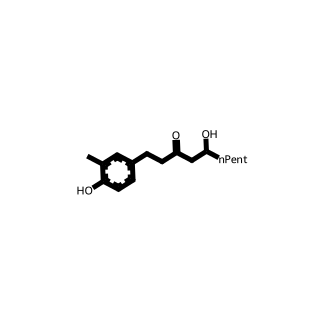 CCCCCC(O)CC(=O)CCc1ccc(O)c(C)c1